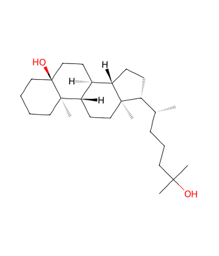 C[C@H](CCCC(C)(C)O)[C@H]1CC[C@H]2[C@@H]3CC[C@@]4(O)CCCC[C@]4(C)[C@H]3CC[C@]12C